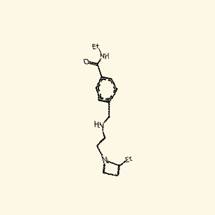 CCNC(=O)c1ccc(CNCCN2CCC2CC)cc1